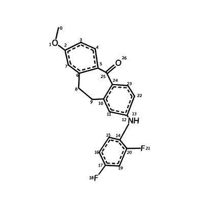 COc1ccc2c(c1)CCc1cc(Nc3ccc(F)cc3F)ccc1C2=O